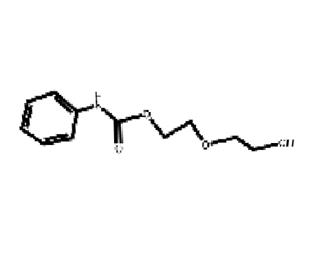 O=C(Nc1[c]cccc1)OCCOCCO